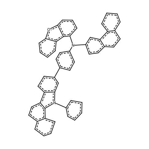 c1ccc(-n2c3cc(-c4ccc(N(c5ccc6ccc7ccccc7c6c5)c5cccc6oc7ccccc7c56)cc4)ccc3c3ccc4ccccc4c32)cc1